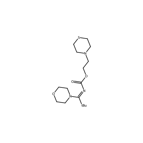 CC(C)(C)/C(=N/C(=O)OCCN1CCSCC1)N1CCOCC1